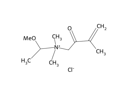 C=C(C)C(=O)C[N+](C)(C)C(C)OC.[Cl-]